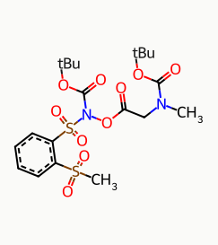 CN(CC(=O)ON(C(=O)OC(C)(C)C)S(=O)(=O)c1ccccc1S(C)(=O)=O)C(=O)OC(C)(C)C